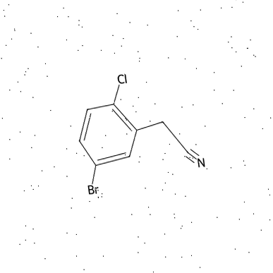 N#CCc1cc(Br)ccc1Cl